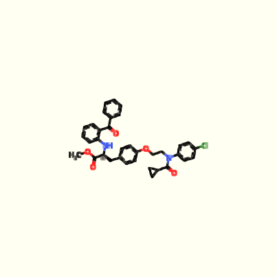 COC(=O)[C@H](Cc1ccc(OCCN(C(=O)C2CC2)c2ccc(Cl)cc2)cc1)Nc1ccccc1C(=O)c1ccccc1